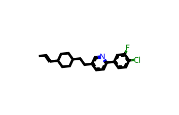 CC=CC1CCC(CCc2ccc(-c3ccc(Cl)c(F)c3)nc2)CC1